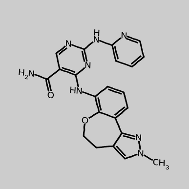 Cn1cc2c(n1)-c1cccc(Nc3nc(Nc4ccccn4)ncc3C(N)=O)c1OCC2